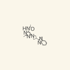 CC(=O)Nc1cc(N2CC(c3nc4ccccc4n3C)C2)nc(C)n1